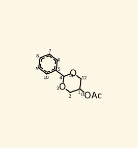 CC(=O)OC1COC(c2ccccc2)OC1